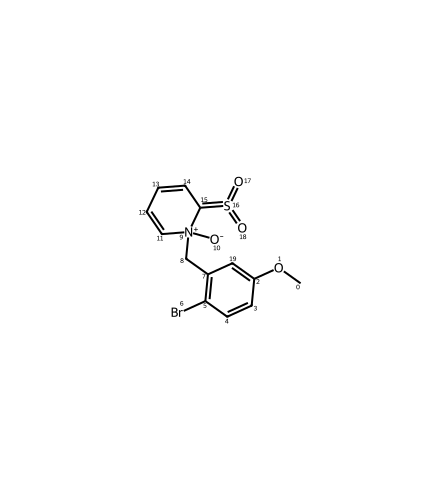 COc1ccc(Br)c(C[N+]2([O-])C=CC=CC2=S(=O)=O)c1